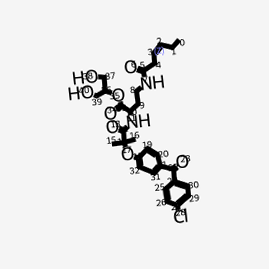 CC/C=C\CC(=O)NCCC(NC(=O)C(C)(C)Oc1ccc(C(=O)c2ccc(Cl)cc2)cc1)C(=O)OC(CO)CO